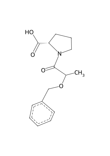 CC(OCc1ccccc1)C(=O)N1CCC[C@H]1C(=O)O